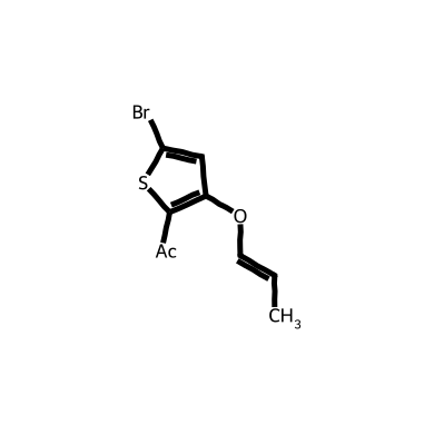 CC=COc1cc(Br)sc1C(C)=O